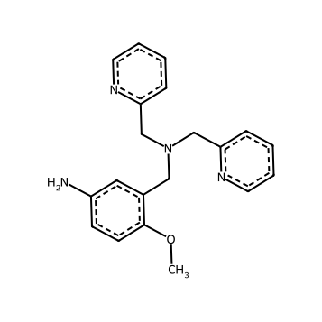 COc1ccc(N)cc1CN(Cc1ccccn1)Cc1ccccn1